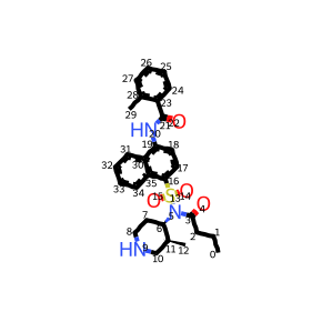 CCCC(=O)N([C@@H]1CCNC[C@@H]1C)S(=O)(=O)c1ccc(NC(=O)c2ccccc2C)c2ccccc12